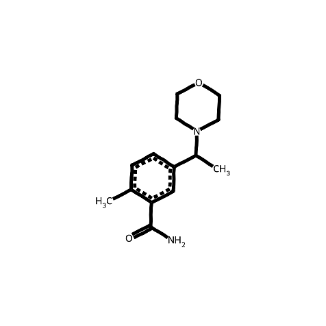 Cc1ccc(C(C)N2CCOCC2)cc1C(N)=O